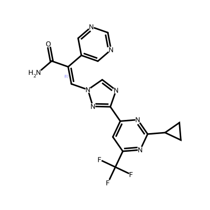 NC(=O)/C(=C/n1cnc(-c2cc(C(F)(F)F)nc(C3CC3)n2)n1)c1cncnc1